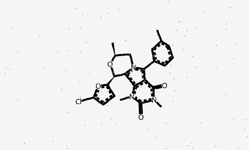 Cc1cccc(-c2c3c(=O)n(C)c(=O)n(C)c3c3n2C[C@H](C)O[C@@H]3c2ccc(Cl)o2)c1